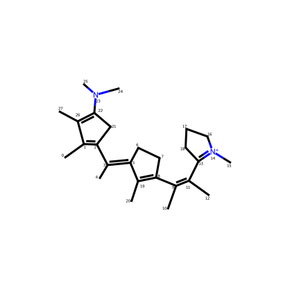 CC1=C(/C(C)=C2\CCC(C(/C)=C(/C)C3=[N+](C)CCC3)=C2C)CC(N(C)C)=C1C